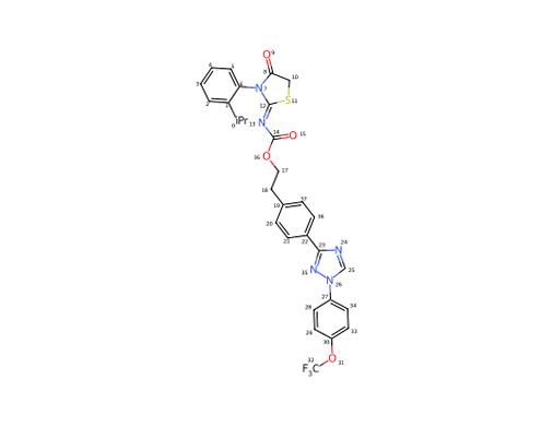 CC(C)c1ccccc1N1C(=O)CS/C1=N\C(=O)OCCc1ccc(-c2ncn(-c3ccc(OC(F)(F)F)cc3)n2)cc1